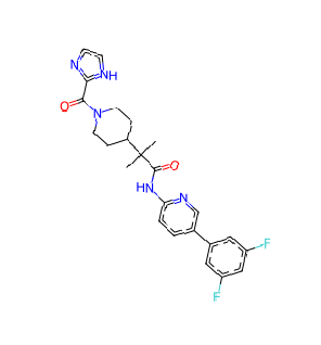 CC(C)(C(=O)Nc1ccc(-c2cc(F)cc(F)c2)cn1)C1CCN(C(=O)c2ncc[nH]2)CC1